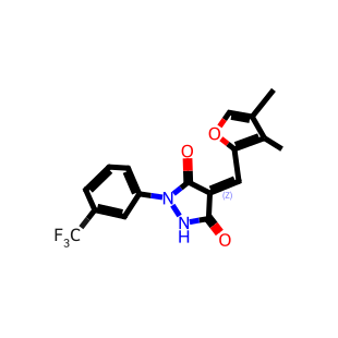 Cc1coc(/C=C2/C(=O)NN(c3cccc(C(F)(F)F)c3)C2=O)c1C